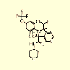 C[C@](C(=O)NC1CCOCC1)(c1cncnc1)N(C(=O)[C@H](F)Cl)c1ccc(OC(F)(F)F)cc1Cl